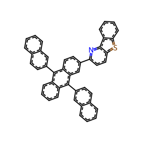 c1ccc2cc(-c3c4ccccc4c(-c4ccc5ccccc5c4)c4cc(-c5ccc6sc7ccccc7c6n5)ccc34)ccc2c1